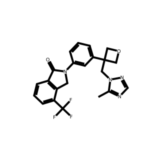 Cc1ncnn1CC1(c2cccc(N3Cc4c(cccc4C(F)(F)F)C3=O)c2)COC1